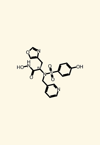 O=C(NO)[C@@H](Cc1cocn1)N(Cc1cccnc1)S(=O)(=O)c1ccc(O)cc1